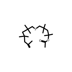 C=C(C)CC(C)(C)CC(C)(C)CSCC(C)(C)CC(C)(C)OC(C)=O